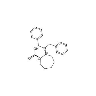 O=C(O)[C@@H]1CCCCC[C@@H]1N(Cc1ccccc1)Cc1ccccc1